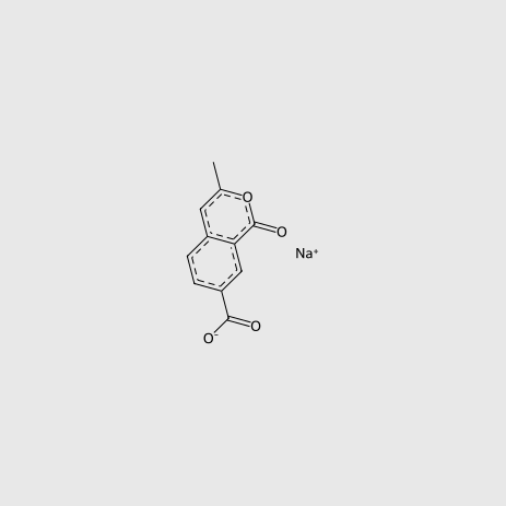 Cc1cc2ccc(C(=O)[O-])cc2c(=O)o1.[Na+]